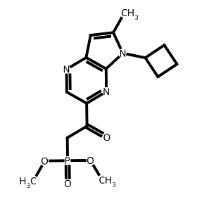 COP(=O)(CC(=O)c1cnc2cc(C)n(C3CCC3)c2n1)OC